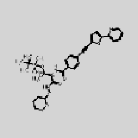 C[C@@H](O[Si](C)(C)C(C)(C)C)[C@H](NC(=O)c1ccc(C#Cc2ccc(-c3ccccn3)s2)cc1)C(=O)NOC1CCCCO1